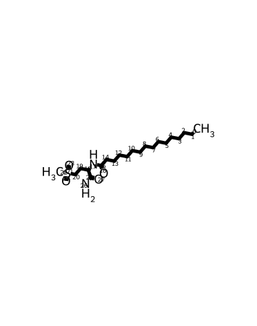 CCCCCCCCCCCCCCCC(=O)NC(CCS(C)(=O)=O)C(N)=O